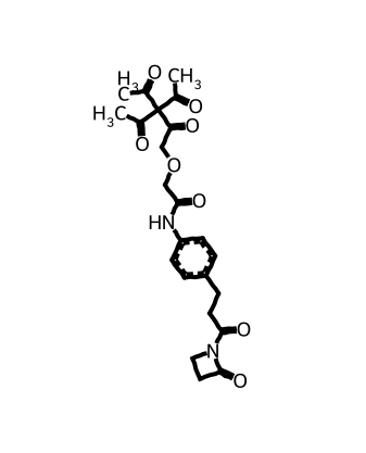 CC(=O)C(C(C)=O)(C(C)=O)C(=O)COCC(=O)Nc1ccc(CCC(=O)N2CCC2=O)cc1